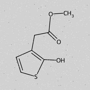 COC(=O)Cc1ccsc1O